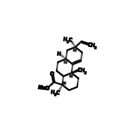 C=C[C@@]1(C)CC=C2[C@@H](CCC3[C@](C)(C(=O)OC)CCC[C@@]23C)C1